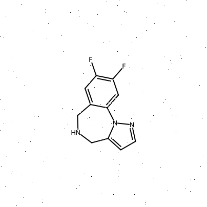 Fc1cc2c(cc1F)-n1nccc1CNC2